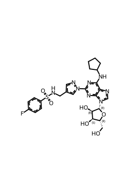 O=S(=O)(NCc1cnn(-c2nc(NC3CCCC3)c3ncn([C@@H]4O[C@H](CO)[C@@H](O)[C@H]4O)c3n2)c1)c1ccc(F)cc1